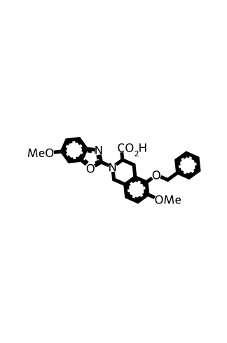 COc1ccc2nc(N3Cc4ccc(OC)c(OCc5ccccc5)c4CC3C(=O)O)oc2c1